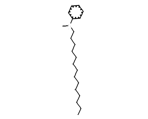 CCCCCCCCCCCCCCN(C)c1ccccc1